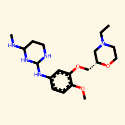 CCN1CCO[C@H](COc2cc(NC3NCCC(NC)N3)ccc2OC)C1